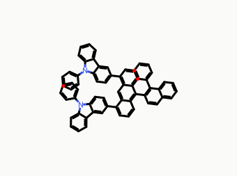 c1ccc(-c2c(-c3c4cccc(-c5ccc6c(c5)c5ccccc5n6-c5ccccc5)c4cc4c(-c5ccc6c(c5)c5ccccc5n6-c5ccccc5)cccc34)ccc3ccccc23)cc1